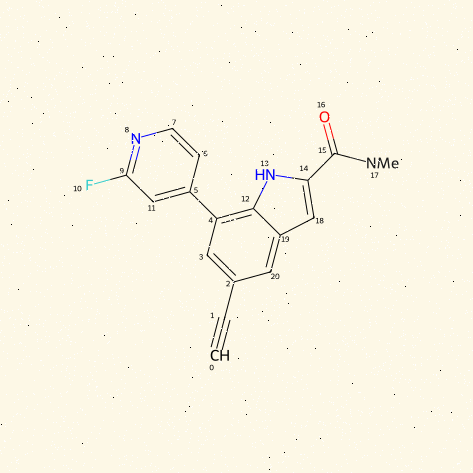 C#Cc1cc(-c2ccnc(F)c2)c2[nH]c(C(=O)NC)cc2c1